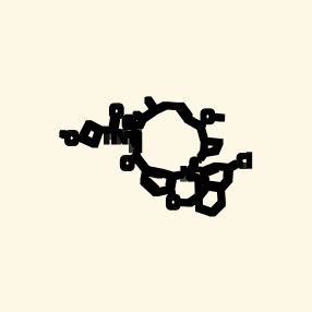 COC1CC(C(=O)NS2(=O)=NC(=O)c3ccc4c(c3)N(CC3CCC3C(OC)/C=C/CC(C)C2C)CC2(CCCc3cc(Cl)ccc32)CO4)C1